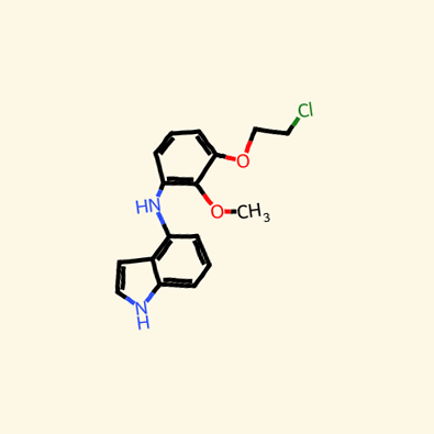 COc1c(Nc2cccc3[nH]ccc23)cccc1OCCCl